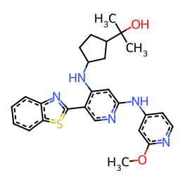 COc1cc(Nc2cc(NC3CCC(C(C)(C)O)C3)c(-c3nc4ccccc4s3)cn2)ccn1